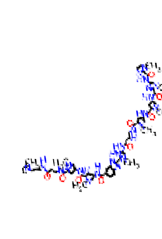 CN(C)CCCNC(=O)CCNC(=O)c1cc(NC(=O)c2cc(NC(=O)c3ccc4nc(-c5nc(NC(=O)CCCNC(=O)c6cc(NC(=O)c7cc(NC(=O)c8nc(NC(=O)c9nccn9C)cn8C)cn7C)cn6C)cn5C)[nH]c4c3)cn2C)cn1C